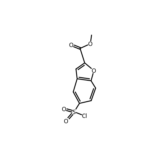 COC(=O)c1cc2cc(S(=O)(=O)Cl)ccc2o1